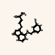 NC(=O)/C=C/Cc1c[nH]c2ncnc(OCc3cccc(F)c3)c12